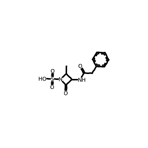 CC1C(NC(=O)Cc2ccccc2)C(=O)N1S(=O)(=O)O